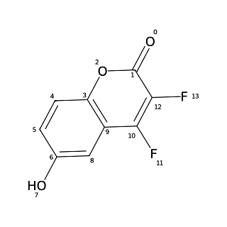 O=c1oc2ccc(O)cc2c(F)c1F